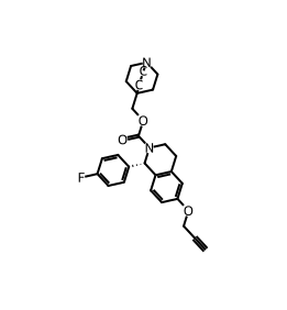 C#CCOc1ccc2c(c1)CCN(C(=O)OCC13CCN(CC1)CC3)[C@H]2c1ccc(F)cc1